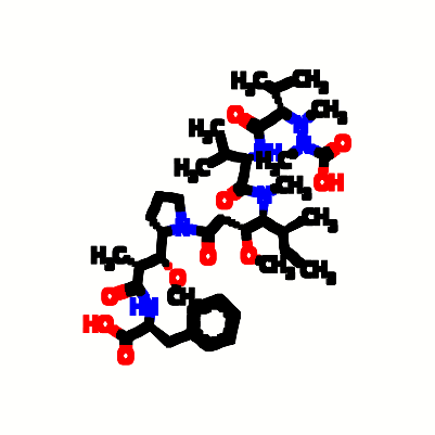 CC[C@H](C)[C@@H]([C@@H](CC(=O)N1CCC[C@H]1[C@H](OC)[C@@H](C)C(=O)N[C@@H](Cc1ccccc1)C(=O)O)OC)N(C)C(=O)[C@@H](NC(=O)[C@H](C(C)C)N(C)N(C)C(=O)O)C(C)C